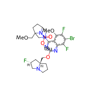 COCC12CCC(CN(c3nc(OC[C@@]45CCCN4C[C@H](F)C5)nc4c(F)c(Br)c(F)c(OC)c34)C1)N2C(=O)OC(C)(C)C